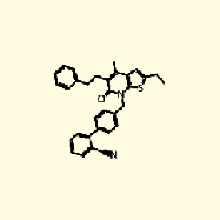 CCc1cc2c(C)c(CCc3ccccc3)c(=O)n(Cc3ccc(-c4ccccc4C#N)cc3)c2s1